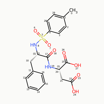 Cc1ccc(S(=O)(=O)N[C@@H](Cc2ccccc2)C(=O)N[C@@H](CC(=O)O)C(=O)O)cc1